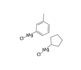 Cc1ccc[c]([Mg][Cl])c1.[Cl][Mg][CH]1CCCC1